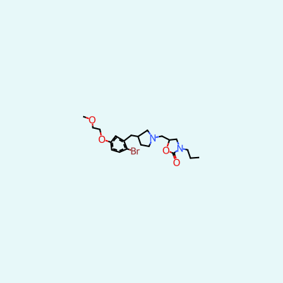 CCCN1CC(CN2CCC(Cc3cc(OCCOC)ccc3Br)C2)OC1=O